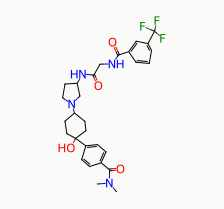 CN(C)C(=O)c1ccc(C2(O)CCC(N3CCC(NC(=O)CNC(=O)c4cccc(C(F)(F)F)c4)C3)CC2)cc1